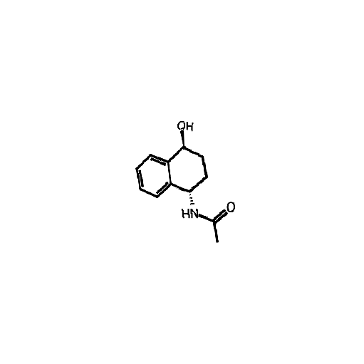 CC(=O)N[C@H]1CC[C@H](O)c2ccccc21